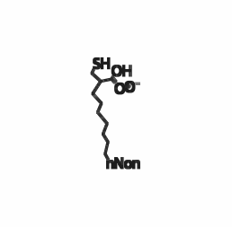 CCCCCCCCCCCCCCCCC(CS)C(O)=[O+][O-]